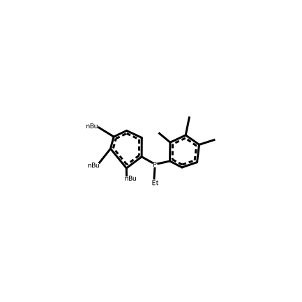 CCCCc1ccc(P(CC)c2ccc(C)c(C)c2C)c(CCCC)c1CCCC